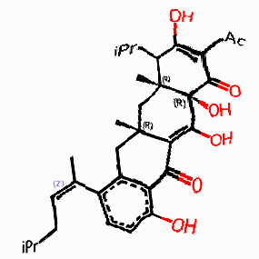 CC(=O)C1=C(O)C(C(C)C)[C@@]2(C)C[C@@]3(C)Cc4c(/C(C)=C\CC(C)C)ccc(O)c4C(=O)C3=C(O)[C@@]2(O)C1=O